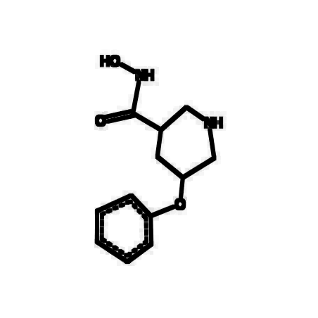 O=C(NO)C1CNCC(Oc2ccccc2)C1